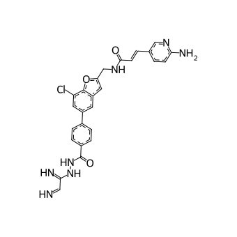 N=CC(=N)NNC(=O)c1ccc(-c2cc(Cl)c3oc(CNC(=O)/C=C/c4ccc(N)nc4)cc3c2)cc1